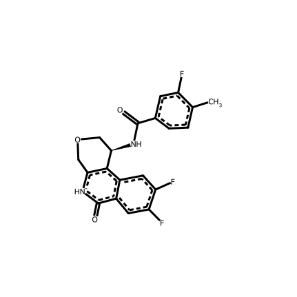 Cc1ccc(C(=O)N[C@@H]2COCc3[nH]c(=O)c4cc(F)c(F)cc4c32)cc1F